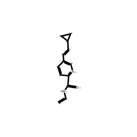 C=CNC(=O)c1ccc(/C=C/C2CC2)cn1